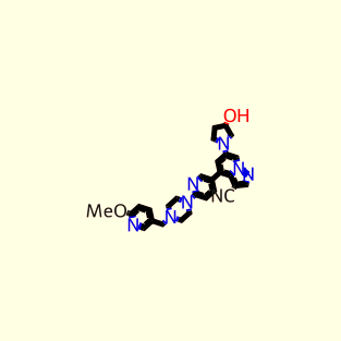 COc1ccc(CN2CCN(c3ccc(-c4cc(N5CCC(O)C5)cn5ncc(C#N)c45)cn3)CC2)cn1